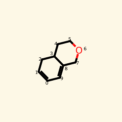 C1=CCC2CCOCC2=C1